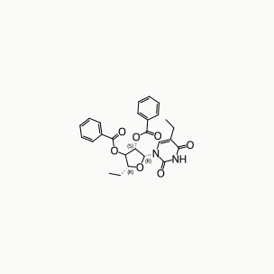 CCc1cn([C@@H]2O[C@H](CC)C(OC(=O)c3ccccc3)[C@@H]2OC(=O)c2ccccc2)c(=O)[nH]c1=O